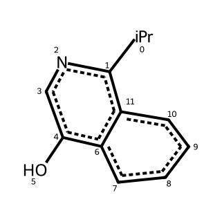 CC(C)c1ncc(O)c2ccccc12